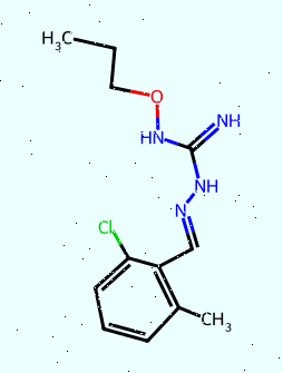 CCCONC(=N)N/N=C/c1c(C)cccc1Cl